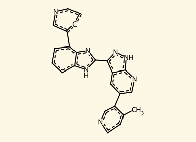 Cc1ccncc1-c1cnc2[nH]nc(-c3nc4c(-c5cccnc5)cccc4[nH]3)c2c1